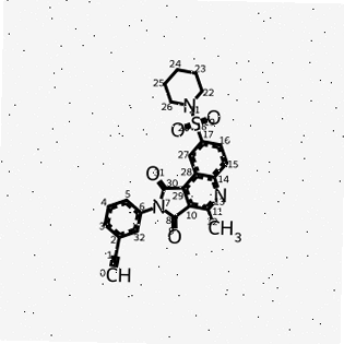 C#Cc1cccc(N2C(=O)c3c(C)nc4ccc(S(=O)(=O)N5CCCCC5)cc4c3C2=O)c1